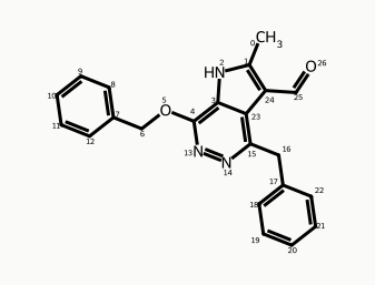 Cc1[nH]c2c(OCc3ccccc3)nnc(Cc3ccccc3)c2c1C=O